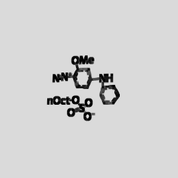 CCCCCCCCOS(=O)(=O)[O-].COc1cc(Nc2ccccc2)ccc1[N+]#N